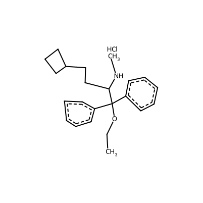 CCOC(c1ccccc1)(c1ccccc1)C(CCC1CCC1)NC.Cl